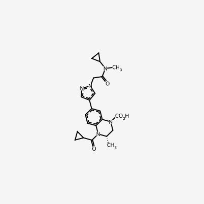 C[C@H]1CN(C(=O)O)c2cc(-c3cnn(CC(=O)N(C)C4CC4)c3)ccc2N1C(=O)C1CC1